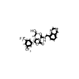 O=C(NCc1cccc2cncnc12)N1C(=O)O[C@H](c2cc(C(F)(F)F)cc(C(F)(F)F)c2)[C@@H]1CCO